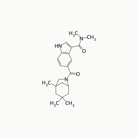 CN(C)C(=O)c1c[nH]c2ccc(C(=O)N3CC4(C)CC3CC(C)(C)C4)cc12